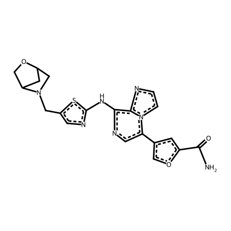 NC(=O)c1cc(-c2cnc(Nc3ncc(CN4CC5CC4CO5)s3)c3nccn23)co1